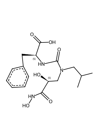 CC(C)CN(C[C@H](O)C(=O)NO)C(=O)N[C@@H](Cc1ccccc1)C(=O)O